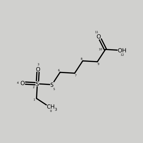 CCS(=O)(=O)SCCCCC(=O)O